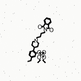 CCOP(=O)(OCC)Oc1cc(CC)ccc1C1CCN(CCCCN2C(=O)c3ccccc3C2=O)CC1